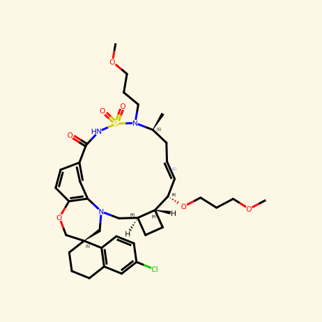 COCCCO[C@H]1/C=C/C[C@H](C)N(CCCOC)S(=O)(=O)NC(=O)c2ccc3c(c2)N(C[C@@H]2CC[C@H]21)C[C@@]1(CCCc2cc(Cl)ccc21)CO3